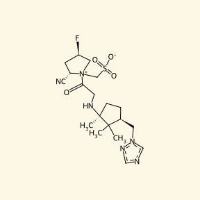 CC1(C)[C@H](Cn2cncn2)CC[C@]1(C)NCC(=O)[N+]1(CS(=O)(=O)[O-])C[C@H](F)C[C@H]1C#N